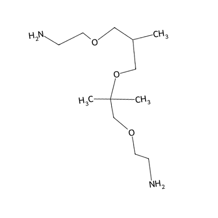 CC(COCCN)COC(C)(C)COCCN